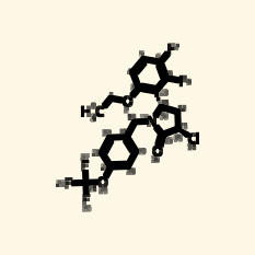 CCOc1ccc(F)c(F)c1[C@@H]1C[C@@H](Cl)C(=O)N1Cc1ccc(OC(F)(F)F)cc1